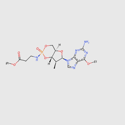 CCOc1nc(N)nc2c1ncn2[C@@H]1O[C@@H]2CO[P@](=O)(NCCC(=O)OC(C)C)O[C@H]2[C@@H]1C